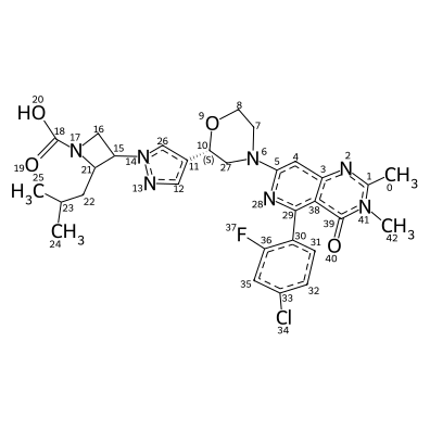 Cc1nc2cc(N3CCO[C@@H](c4cnn(C5CN(C(=O)O)C5CC(C)C)c4)C3)nc(-c3ccc(Cl)cc3F)c2c(=O)n1C